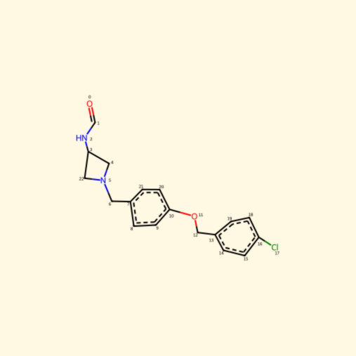 O=CNC1CN(Cc2ccc(OCc3ccc(Cl)cc3)cc2)C1